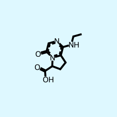 CCNc1ncc(=O)n2c1CCC2C(=O)O